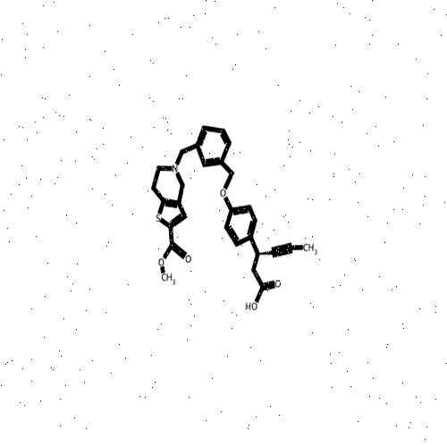 CC#C[C@@H](CC(=O)O)c1ccc(OCc2cccc(CN3CCc4sc(C(=O)OC)cc4C3)c2)cc1